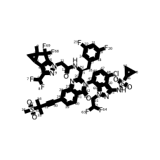 CC12CC1c1c(C(F)F)nn(CC(=O)N[C@@H](Cc3cc(F)cc(F)c3)c3nc4cc(C#CC(C)(C)S(C)(=O)=O)ccc4c(=O)n3-c3ccc(Cl)c4c(NS(=O)(=O)C5CC5)nn(CC(F)F)c34)c1C2(F)F